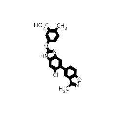 Cc1ccc(Oc2nc3cc(-c4ccc5onc(C)c5c4)c(Cl)cc3[nH]2)cc1C(=O)O